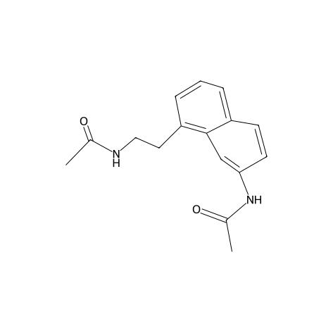 CC(=O)NCCc1cccc2ccc(NC(C)=O)cc12